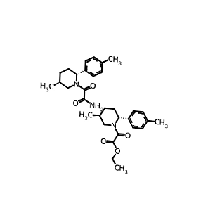 CCOC(=O)C(=O)N1C[C@@H](C)CC[C@@H]1c1ccc(C)cc1.Cc1ccc([C@H]2CC[C@H](C)CN2C(=O)C(N)=O)cc1